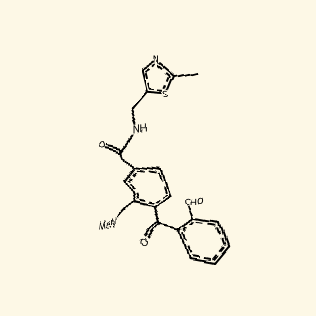 CNc1cc(C(=O)NCc2cnc(C)s2)ccc1C(=O)c1ccccc1C=O